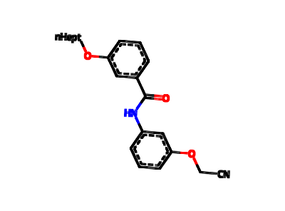 CCCCCCCOc1cccc(C(=O)Nc2cccc(OCC#N)c2)c1